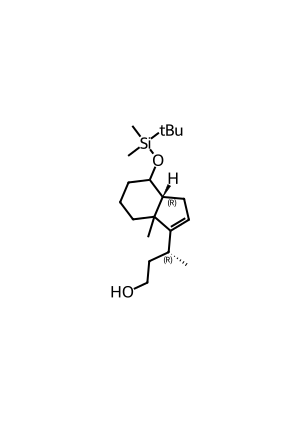 C[C@H](CCO)C1=CC[C@H]2C(O[Si](C)(C)C(C)(C)C)CCCC12C